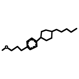 CCCCCC1CCC(c2ccc(CCCOC)cc2)CC1